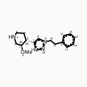 CO[C@H]1CNCC[C@@H]1c1cn(CCc2ccccc2)nn1